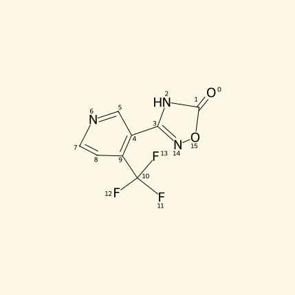 O=c1[nH]c(-c2cnccc2C(F)(F)F)no1